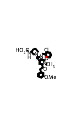 COc1cccc(CC(=O)c2cc3nc(N4CCC[C@@H](NC(=O)O)C4)n(Cc4ccccc4Cl)c3c(=O)n2C)c1